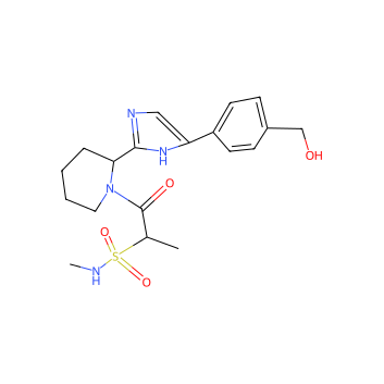 CNS(=O)(=O)C(C)C(=O)N1CCCCC1c1ncc(-c2ccc(CO)cc2)[nH]1